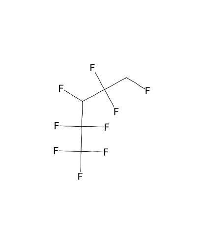 FCC(F)(F)C(F)C(F)(F)C(F)(F)F